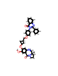 COc1cc2c(cc1OC1CC(COc3ccc(-n4c(-c5ccccc5)nc5ccccc5c4=O)cc3)C1)N=C[C@@H]1CCCN1C2=O